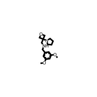 COc1cc(CNCC2(N3CCCC3)COC2)cc(OC)c1